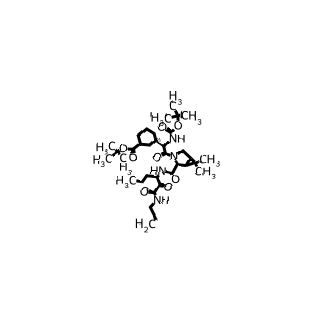 C=CCNC(=O)C(=O)C(CCC)NC(=O)C1C2C(CN1C(=O)C(NC(=O)OC(C)(C)C)[C@@H]1CCCC(C(=O)OC(C)(C)C)C1)C2(C)C